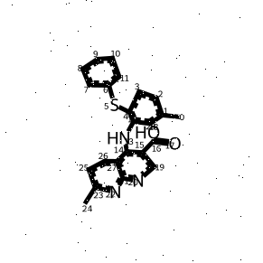 Cc1ccc(Sc2ccccc2)c(Nc2c(C(=O)O)cnc3nc(C)ccc23)c1